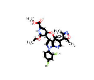 CCOc1cc(C(=O)OC)nc(OCC)c1-c1cn(-c2ccc(F)cc2F)c2ncc(-c3c(C)noc3C)cc12